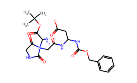 CC(C)(C)OC(=O)[C@@H](N)[N+]1(CC(=O)NC(CC(=O)[O-])NC(=O)OCc2ccccc2)C(=O)CNC1=O